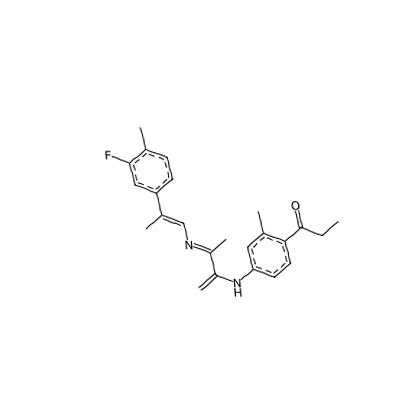 C=C(Nc1ccc(C(=O)CC)c(C)c1)/C(C)=N/C=C(\C)c1ccc(C)c(F)c1